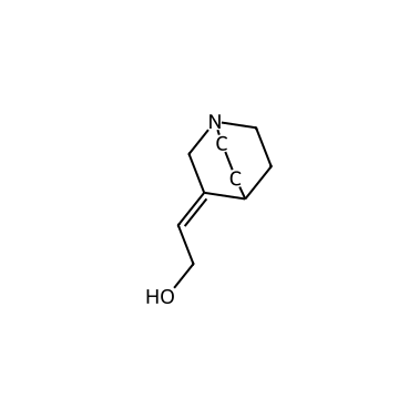 OCC=C1CN2CCC1CC2